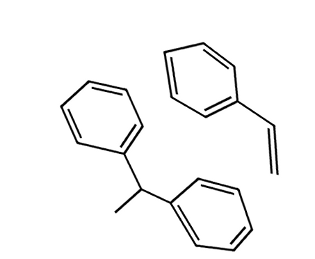 C=Cc1ccccc1.CC(c1ccccc1)c1ccccc1